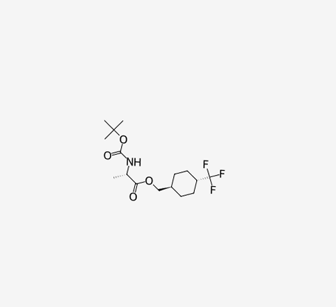 C[C@H](NC(=O)OC(C)(C)C)C(=O)OC[C@H]1CC[C@H](C(F)(F)F)CC1